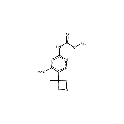 COc1cc(NC(=O)OC(C)(C)C)nnc1C1(C)COC1